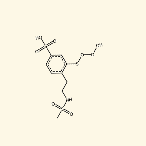 CS(=O)(=O)NCCc1ccc(S(=O)(=O)O)cc1SOOO